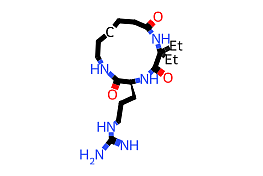 CCC1(CC)NC(=O)CCCCCNC(=O)[C@H](CCCNC(=N)N)NC1=O